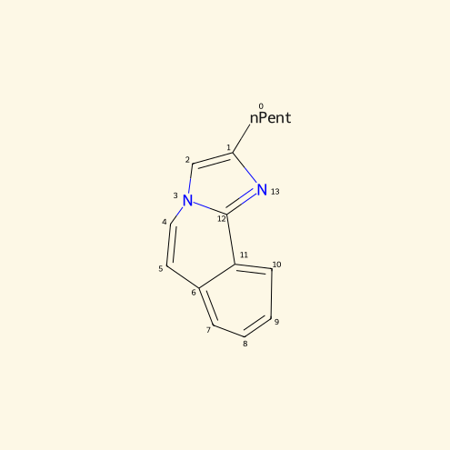 CCCCCc1cn2ccc3ccccc3c2n1